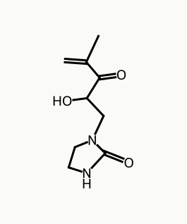 C=C(C)C(=O)C(O)CN1CCNC1=O